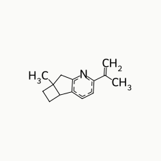 C=C(C)c1ccc2c(n1)CC1(C)CCC21